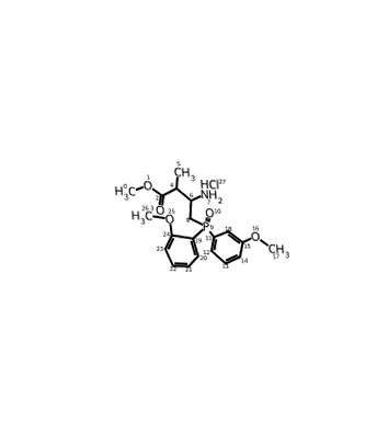 COC(=O)C(C)C(N)CP(=O)(c1cccc(OC)c1)c1ccccc1OC.Cl